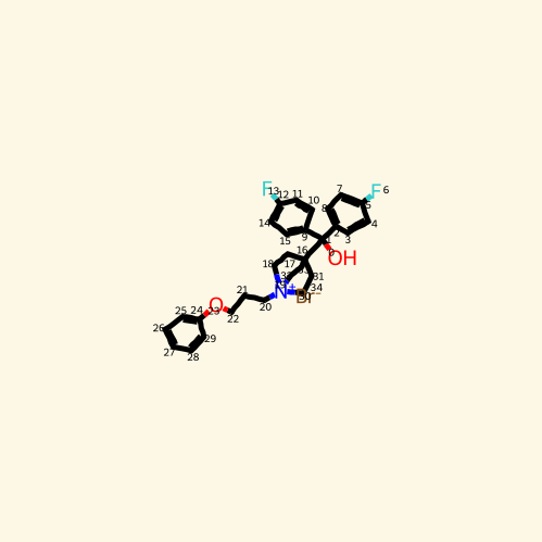 OC(c1ccc(F)cc1)(c1ccc(F)cc1)C12CC[N+](CCCOc3ccccc3)(CC1)CC2.[Br-]